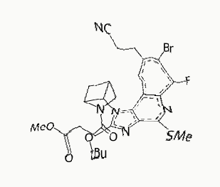 COC(=O)CCc1nc2c(SC)nc3c(F)c(Br)c(CCC#N)cc3c2n1C1C2CC1N(C(=O)OC(C)(C)C)C2